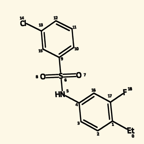 CCc1ccc(NS(=O)(=O)c2cccc(Cl)c2)cc1F